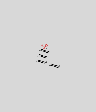 C=C.C=C.C=C.C=C.O